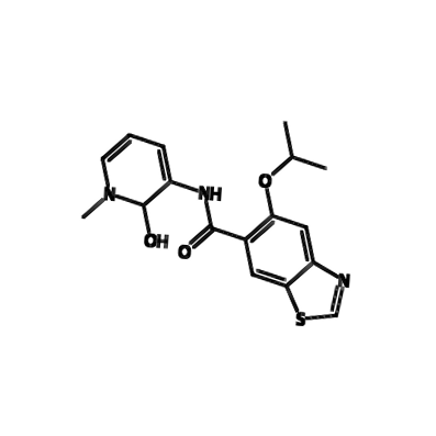 CC(C)Oc1cc2ncsc2cc1C(=O)NC1=CC=CN(C)C1O